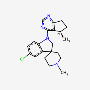 C[C@@H]1CCc2ncnc(N3CC4(CCN(C)CC4)c4cc(Cl)ccc43)c21